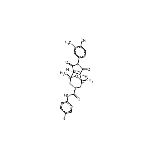 C[C@]12CN(C(=O)Nc3ccc(F)cc3)C[C@](C)(O1)[C@@H]1C(=O)N(c3ccc(C#N)c(C(F)(F)F)c3)C(=O)[C@@H]12